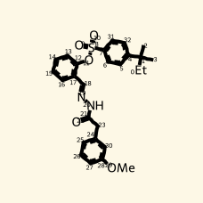 CCC(C)(C)c1ccc(S(=O)(=O)Oc2ccccc2C=NNC(=O)Cc2cccc(OC)c2)cc1